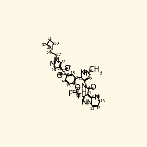 Cn1cc(NC(=O)c2cnn3cccnc23)c(-c2cc(S(=O)(=O)c3cnn(CCN4CCC4)c3)ccc2OC(F)F)n1